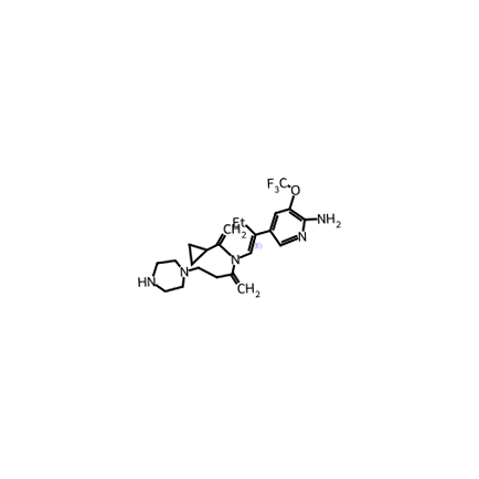 C=C(CCN1CCNCC1)N(/C=C(\CC)c1cnc(N)c(OC(F)(F)F)c1)C(=C)C1CC1